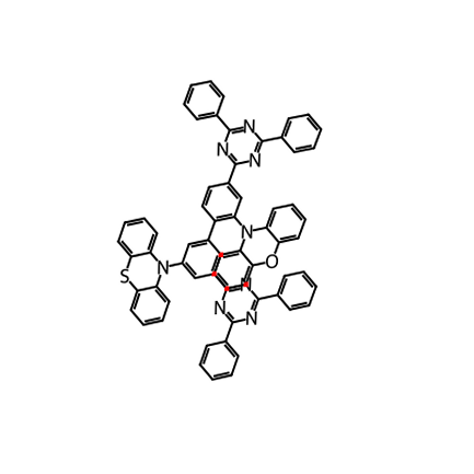 c1ccc(-c2nc(-c3ccccc3)nc(-c3cc(-c4ccc(-c5nc(-c6ccccc6)nc(-c6ccccc6)n5)cc4N4c5ccccc5Oc5ccccc54)cc(N4c5ccccc5Sc5ccccc54)c3)n2)cc1